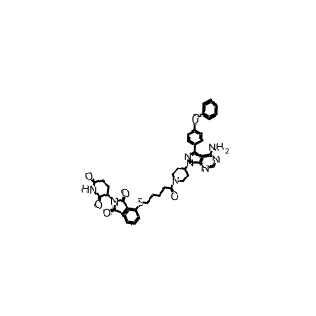 Nc1ncnc2c1c(-c1ccc(Oc3ccccc3)cc1)nn2C1CCN(C(=O)CCCCSc2cccc3c2C(=O)N(C2CCC(=O)NC2=O)C3=O)CC1